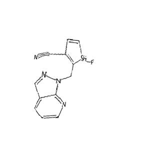 N#CC1=C(Cn2ncc3cccnc32)[SH](F)C=C1